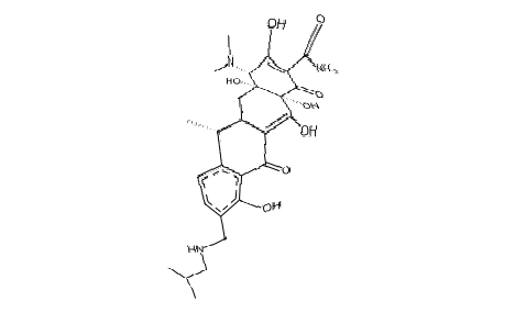 CC(C)CNCc1ccc2c(c1O)C(=O)C1=C(O)[C@]3(O)C(=O)C(C(N)=O)=C(O)[C@@H](N(C)C)[C@]3(O)CC1[C@H]2C